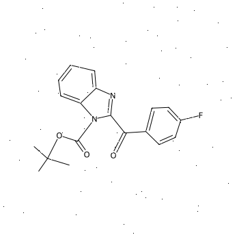 CC(C)(C)OC(=O)n1c(C(=O)c2ccc(F)cc2)nc2ccccc21